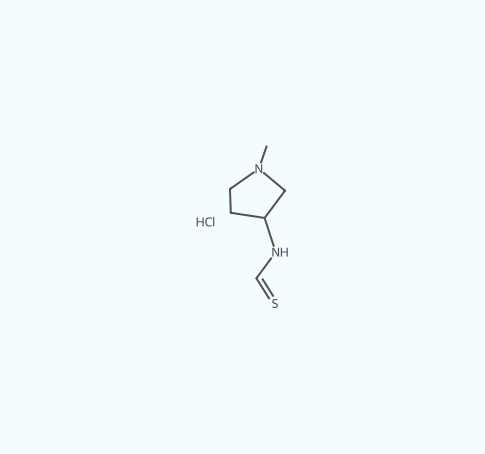 CN1CCC(NC=S)C1.Cl